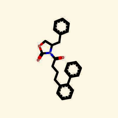 O=C(CCCc1ccccc1-c1ccccc1)N1C(=O)OCC1Cc1ccccc1